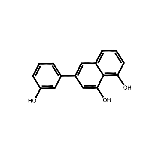 Oc1cccc(-c2cc(O)c3c(O)cccc3c2)c1